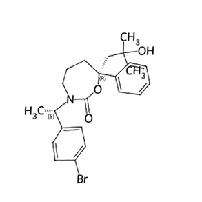 C[C@@H](c1ccc(Br)cc1)N1CCC[C@@](CC(C)(C)O)(c2ccccc2)OC1=O